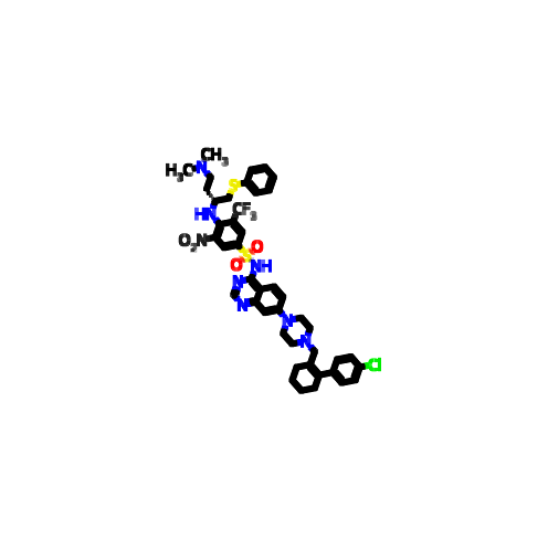 CN(C)CC[C@H](CSc1ccccc1)Nc1c([N+](=O)[O-])cc(S(=O)(=O)Nc2ncnc3cc(N4CCN(CC5=C(c6ccc(Cl)cc6)CCCC5)CC4)ccc23)cc1C(F)(F)F